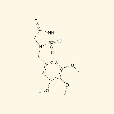 COc1cc(CN2CC(=O)NS2(=O)=O)cc(OC)c1OC